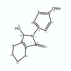 COc1ccc(N2C(=O)C3=C(CCCC3)C2O)cc1